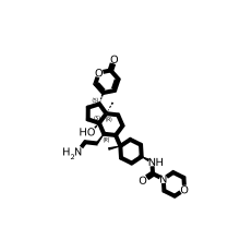 C[C@]12CCC([C@]3(C)CC[C@@H](NC(=O)N4CCOCC4)CC3)[C@@H](CCN)[C@@]1(O)CC[C@@H]2c1ccc(=O)oc1